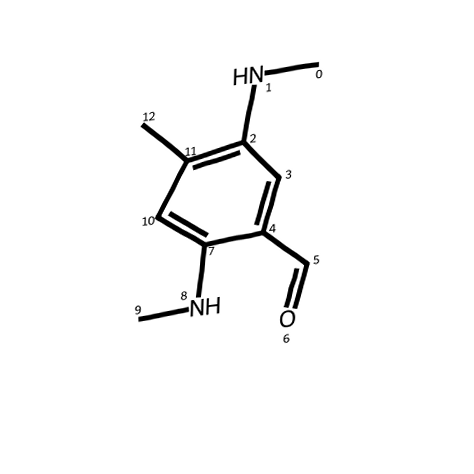 CNc1cc(C=O)c(NC)cc1C